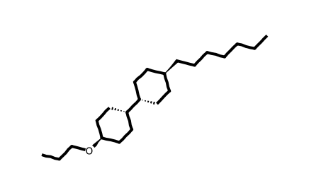 CCCCCCC[C@H]1CC[C@H]([C@H]2CC[C@H](OCCC)CC2)CC1